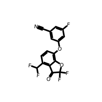 N#Cc1cc(F)cc(Oc2ccc(C(F)F)c3c2OC(F)(F)C3=O)c1